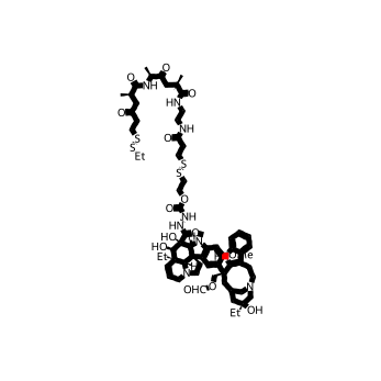 CCSSCCC(=O)C[C@@H](C)C(=O)N[C@@H](C)C(=O)C[C@@H](C)C(=O)NCCNC(=O)CCSSCCOC(=O)NNC(=O)[C@]1(O)[C@H](O)[C@]2(CC)C=CCN3CC[C@@]4(c5cc([C@@]6(COC=O)CC7CN(CCc8c6[nH]c6ccccc86)C[C@](O)(CC)C7)c(OC)cc5N(C)[C@@H]14)[C@@H]32